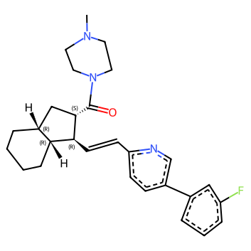 CN1CCN(C(=O)[C@H]2C[C@H]3CCCC[C@H]3[C@@H]2C=Cc2ccc(-c3cccc(F)c3)cn2)CC1